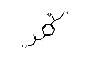 CCC(=O)Oc1ccc(C(N)CO)cc1